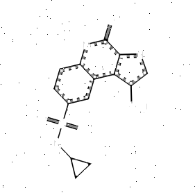 CCOC(=O)c1c[nH]c2c(=O)[nH]c3ccc(S(=O)(=O)NC4CC4)cc3c12